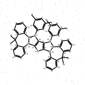 Cc1cc(C)cc(N2B3c4ccccc4C(C)(C)c4ccccc4N3c3sc4c(c32)N(c2cc(C)cc(C)c2)B2c3ccccc3C(C)(C)c3ccccc3N24)c1